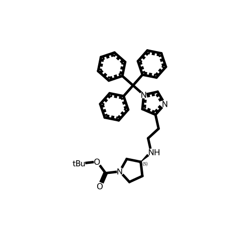 CC(C)(C)OC(=O)N1CC[C@H](NCCc2cn(C(c3ccccc3)(c3ccccc3)c3ccccc3)cn2)C1